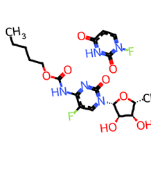 CCCCCOC(=O)Nc1nc(=O)n([C@@H]2O[C@H](C)[C@@H](O)[C@H]2O)cc1F.O=c1ccn(F)c(=O)[nH]1